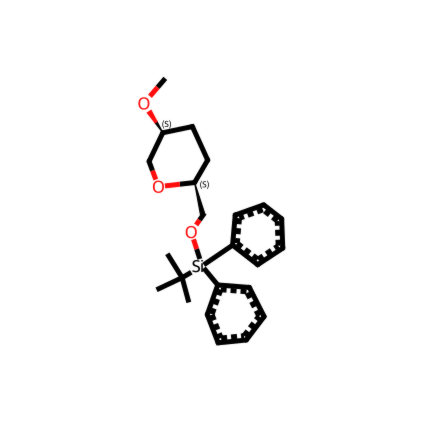 CO[C@H]1CC[C@@H](CO[Si](c2ccccc2)(c2ccccc2)C(C)(C)C)OC1